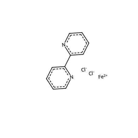 [Cl-].[Cl-].[Fe+2].c1ccc(-c2ccccn2)nc1